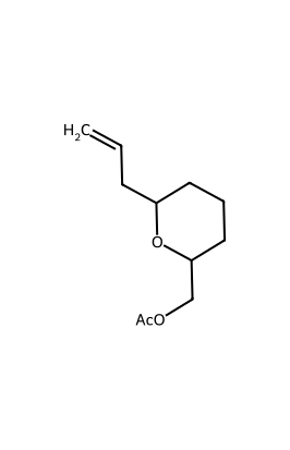 C=CCC1CCCC(COC(C)=O)O1